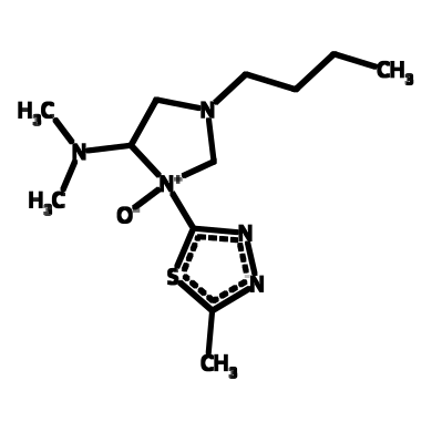 CCCCN1CC(N(C)C)[N+]([O-])(c2nnc(C)s2)C1